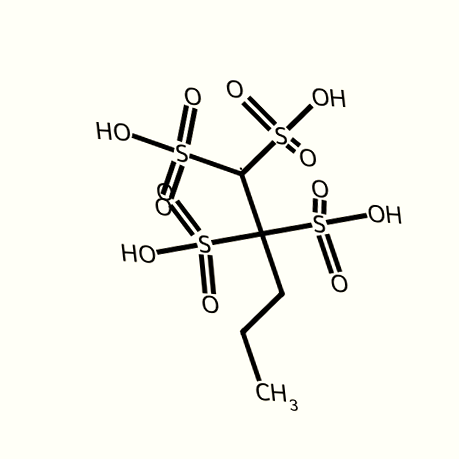 CCCC([C](S(=O)(=O)O)S(=O)(=O)O)(S(=O)(=O)O)S(=O)(=O)O